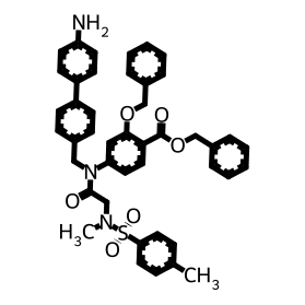 Cc1ccc(S(=O)(=O)N(C)CC(=O)N(Cc2ccc(-c3ccc(N)cc3)cc2)c2ccc(C(=O)OCc3ccccc3)c(OCc3ccccc3)c2)cc1